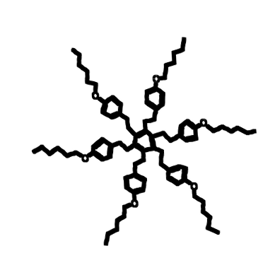 CCCCCCOc1ccc(CCc2c(CCc3ccc(OCCCCCC)cc3)c(CCc3ccc(OCCCCCC)cc3)c(CCc3ccc(OCCCCCC)cc3)c(CCc3ccc(OCCCCCC)cc3)c2CCc2ccc(OCCCCCC)cc2)cc1